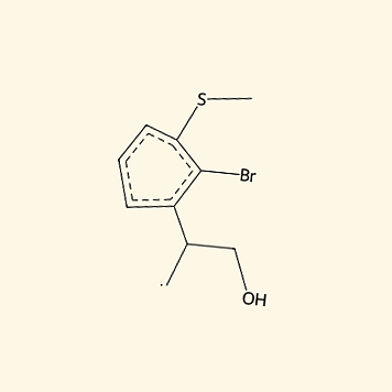 [CH2]C(CO)c1cccc(SC)c1Br